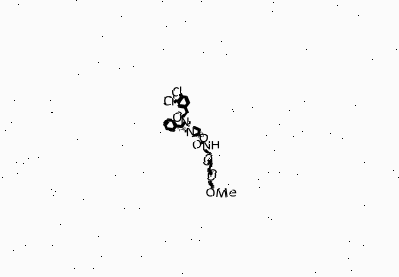 COCCOCCOCCNC(=O)O[C@H]1CCN(C[C@H](c2ccccc2)N(C)C(=O)Cc2ccc(Cl)c(Cl)c2)C1